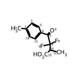 Cc1ccc(C(=O)C(F)(F)C(C)C(=O)O)cc1